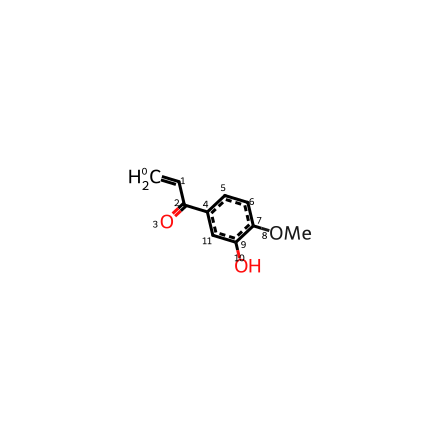 C=CC(=O)c1ccc(OC)c(O)c1